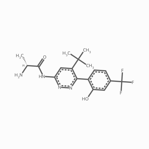 C[C@@H](N)C(=O)Nc1cc(C(C)(C)C)c(-c2ccc(C(F)(F)F)cc2O)nn1